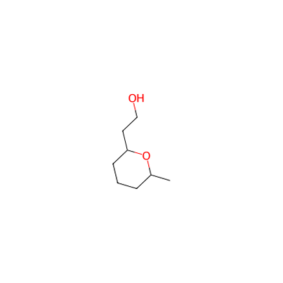 CC1CCCC(CCO)O1